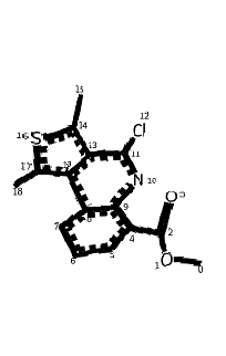 COC(=O)c1cccc2c1nc(Cl)c1c(C)sc(C)c12